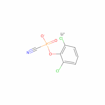 N#CP(=O)([O-])Oc1c(Cl)cccc1Cl.[Li+]